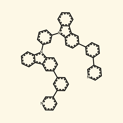 c1cncc(-c2cccc(-c3ccc4c(c3)c3ccccc3n4-c3cccc(-n4c5ccccc5c5cc(-c6cccc(-c7cccnc7)c6)ccc54)c3)c2)c1